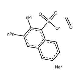 C=O.CCCc1cc2ccccc2c(S(=O)(=O)[O-])c1CCC.[Na+]